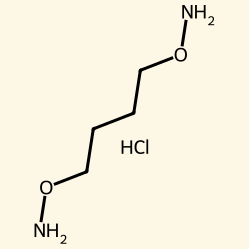 Cl.NOCCCCON